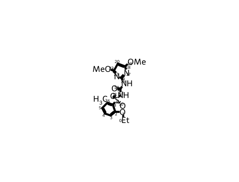 CCOc1cccc(C)c1S(=O)(=O)NC(=O)Nc1nc(OC)cc(OC)n1